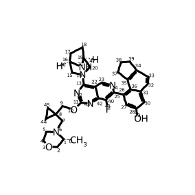 C[C@@H]1COCCN1CC1(COc2nc(N3C[C@H]4CC[C@@H](C3)N4)c3cnc(-c4cc(O)cc5ccc6c(c45)CCC6)c(F)c3n2)CC1